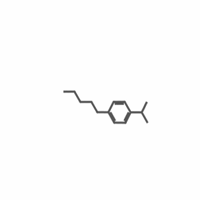 CCCCCc1ccc(C(C)C)cc1